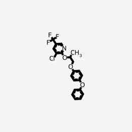 CC(COc1ccc(Oc2ccccc2)cc1)Oc1ncc(C(F)(F)F)cc1Cl